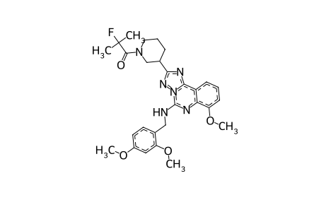 COc1ccc(CNc2nc3c(OC)cccc3c3nc(C4CCCN(C(=O)C(C)(C)F)C4)nn23)c(OC)c1